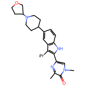 Cc1nc(-c2[nH]c3ccc(C4CCN(C5CCOC5)CC4)cc3c2C(C)C)cn(C)c1=O